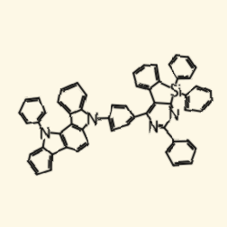 c1ccc(-c2nc(-c3ccc(-n4c5ccccc5c5c4ccc4c6ccccc6n(-c6ccccc6)c45)cc3)c3c(n2)[Si](c2ccccc2)(c2ccccc2)c2ccccc2-3)cc1